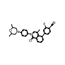 Cc1cn(-c2ccc(N3CC(C)OC(C)C3)cc2)c(=O)c2cccc(-c3ccc(C#N)c(F)c3)c12